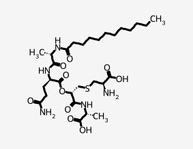 CCCCCCCCCCCC(=O)N[C@@H](C)C(=O)N[C@H](CCC(N)=O)C(=O)O[C@H](CSC[C@H](N)C(=O)O)C(=O)N[C@H](C)C(=O)O